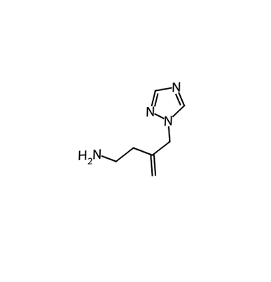 C=C(CCN)Cn1cncn1